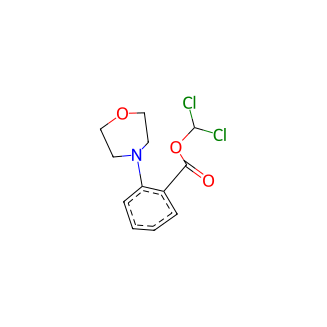 O=C(OC(Cl)Cl)c1ccccc1N1CCOCC1